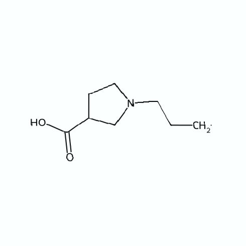 [CH2]CCN1CCC(C(=O)O)C1